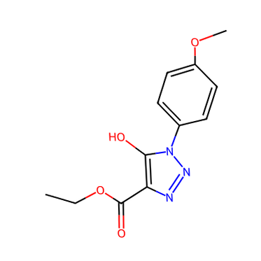 CCOC(=O)c1nnn(-c2ccc(OC)cc2)c1O